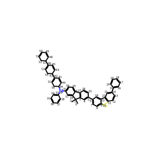 CC1(C)c2cc(-c3ccc4sc5ccc(-c6ccccc6)cc5c4c3)ccc2-c2ccc(N(c3ccccc3)C3C=CC(C4C=CC(C5C=CC=CC5)=CC4)=CC3)cc21